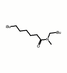 CCC(C)CCCCCC(=O)N(C)CC(C)CC